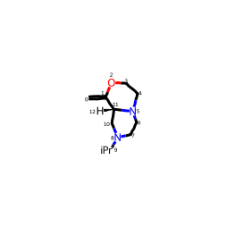 C=C1OCCN2CCN(C(C)C)C[C@H]12